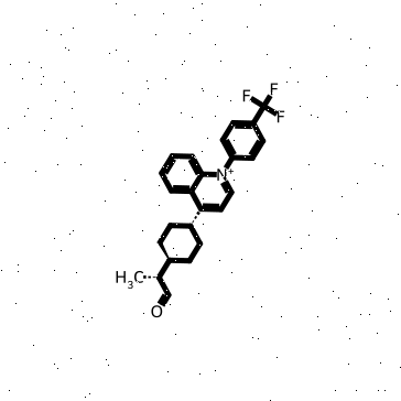 C[C@@H](C=O)[C@H]1CC[C@H](c2cc[n+](-c3ccc(C(F)(F)F)cc3)c3ccccc32)CC1